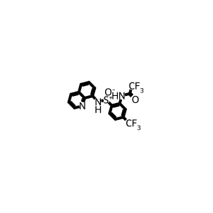 O=C(Nc1cc(C(F)(F)F)ccc1[S+]([O-])Nc1cccc2cccnc12)C(F)(F)F